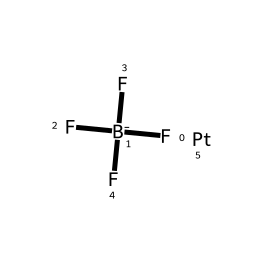 F[B-](F)(F)F.[Pt]